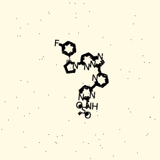 CS(=O)(=O)Nc1nccc(-c2cccc(-c3cnc4ccc(N5CCC[C@@H]5c5cccc(F)c5)nn34)n2)n1